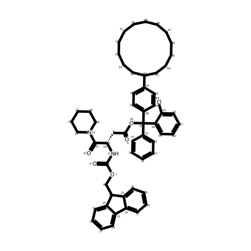 O=C(C[C@H](NC(=O)OCC1c2ccccc2-c2ccccc21)C(=O)N1CCCCC1)OC(c1ccccc1)(c1ccc(C2CCCCCCCCCCCCC2)cc1)c1ccccc1Cl